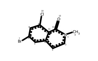 Cn1ccc2cc(Br)cc(Cl)c2c1=O